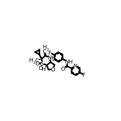 C=C1N[C@@]2(c3cc(NC(=O)c4ccc(F)cn4)ccc3F)COC[C@H]2S(=O)(=O)[C@]1(C)C1CC1